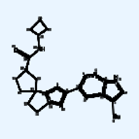 CCC(C)c1c[nH]c2ncc(-c3cc4n(n3)CCC43CCN(C(=O)NC4CCC4)C3)cc12